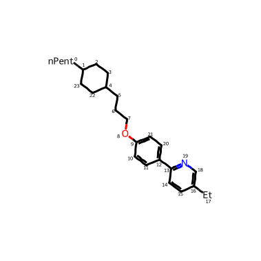 CCCCCC1CCC(CCCOc2ccc(-c3ccc(CC)cn3)cc2)CC1